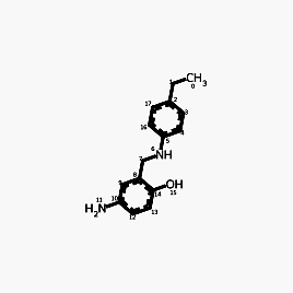 CCc1ccc(NCc2cc(N)ccc2O)cc1